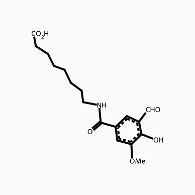 COc1cc(C(=O)NCCCCCCCC(=O)O)cc(C=O)c1O